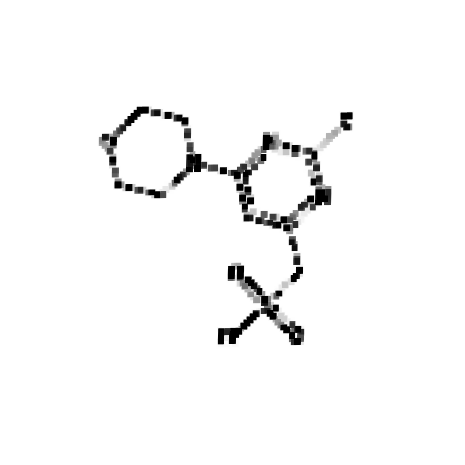 CCS(=O)(=O)Cc1cc(N2CCOCC2)nc(Cl)n1